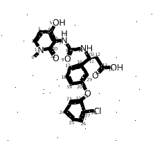 Cn1ccc(O)c(NC(=O)N[C@@H](CC(=O)O)c2cccc(Oc3ccccc3Cl)c2)c1=O